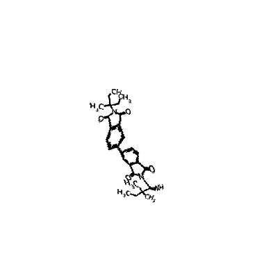 CCC(C)(C)C(=N)N1C(=O)c2ccc(-c3ccc4c(c3)C(=O)N(C(C)(CC)CC)C4=O)cc2C1=O